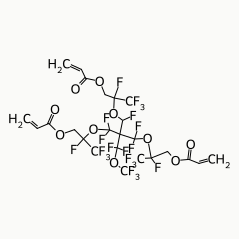 C=CC(=O)OCC(F)(OC(F)C(C(F)(F)OC(F)(F)F)(C(F)(F)OC(F)(COC(=O)C=C)C(F)(F)F)C(F)(F)OC(F)(COC(=O)C=C)C(F)(F)F)C(F)(F)F